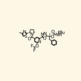 Cc1csc([C@H]2CCCN2C(=O)c2cc(OC(F)F)nc(-c3nnc([C@@](C)(Cc4ccccc4)OC(=O)NC(C)(C)C)o3)c2)n1